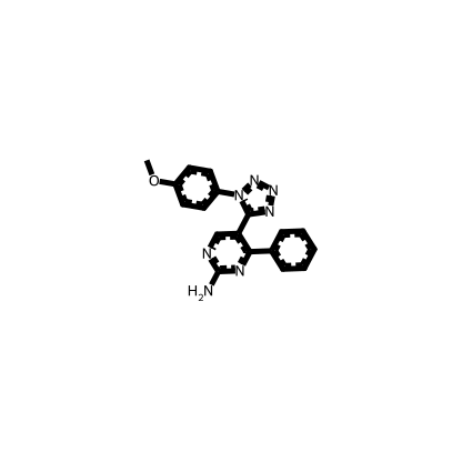 COc1ccc(-n2nnnc2-c2cnc(N)nc2-c2ccccc2)cc1